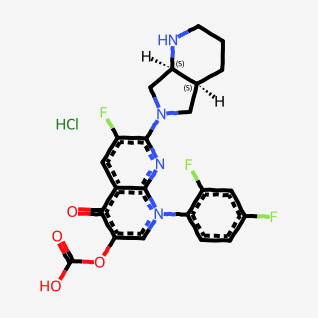 Cl.O=C(O)Oc1cn(-c2ccc(F)cc2F)c2nc(N3C[C@@H]4CCCN[C@@H]4C3)c(F)cc2c1=O